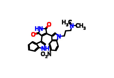 CN(C)CCCn1cc(C2=C(c3c[nH]c4ccccc34)C(=O)NC2=O)c2cc([N+](=O)[O-])ccc21